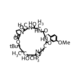 COc1ccc(C[C@@H]2NC(=O)CC[C@@H]3CSC(=N3)[C@@H](C)[C@@H](O)C[C@H](C)C[C@@H](C(C)(C)C)OC(=O)[C@@H]3CCCN3C(=O)[C@H](C)NC(=O)[C@H](C)NC2=O)cc1